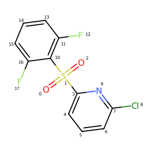 O=S(=O)(c1cccc(Cl)n1)c1c(F)cccc1F